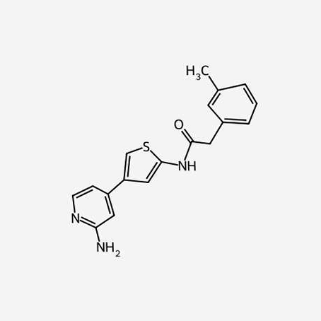 Cc1cccc(CC(=O)Nc2cc(-c3ccnc(N)c3)cs2)c1